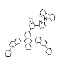 C1=C(c2ccc3c(-c4ccc5ccc(-c6ccccc6)cc5c4)c4ccccc4c(-c4ccc5ccc(-c6ccccc6)cc5c4)c3c2)CNC=C1c1cccc(-n2c3ccccc3c3cccnc32)n1